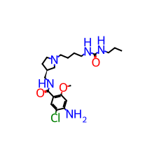 CCCNC(=O)NCCCCN1CC[C@H](CNC(=O)c2cc(Cl)c(N)cc2OC)C1